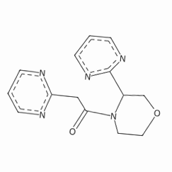 O=C(Cc1ncccn1)N1CCOCC1c1ncccn1